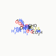 Nc1nc2cc(C(N)(NC(=O)N3CCN(N=C4C=COC4)C3=O)C(=O)N[C@]3(NC=O)C(=O)N4C(OC(=O)O)=C(CSc5nncs5)CS[C@H]43)ccc2[nH]1